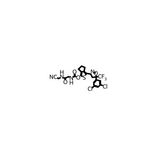 N#CCNC(=O)CNC(=O)Oc1sc(C2=NOC(c3cc(Cl)cc(Cl)c3)(C(F)(F)F)C2)c2c1CCC2